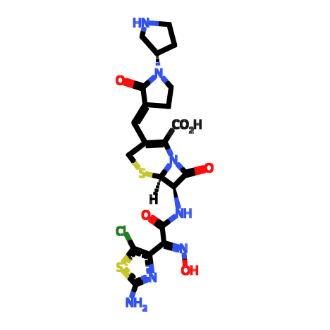 Nc1nc(C(=NO)C(=O)N[C@@H]2C(=O)N3C(C(=O)O)=C(C=C4CCN([C@H]5CCNC5)C4=O)CS[C@H]23)c(Cl)s1